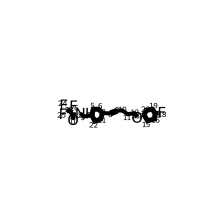 O=C(NCc1ccc(C#CCCCOc2ccc(F)cc2)cc1)C(F)(F)F